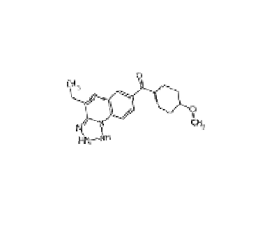 CCC1=Cc2cc(C(=O)C3CCC(OC)CC3)ccc2N2NNN=C12